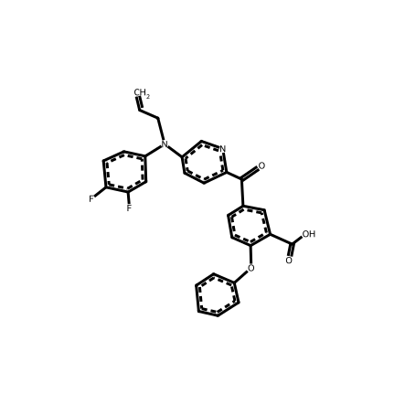 C=CCN(c1ccc(C(=O)c2ccc(Oc3ccccc3)c(C(=O)O)c2)nc1)c1ccc(F)c(F)c1